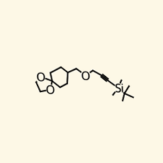 CC(C)(C)[Si](C)(C)C#CCOCC1CCC2(CC1)OCCO2